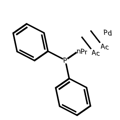 CC(C)=O.CC(C)=O.CCCP(c1ccccc1)c1ccccc1.[Pd]